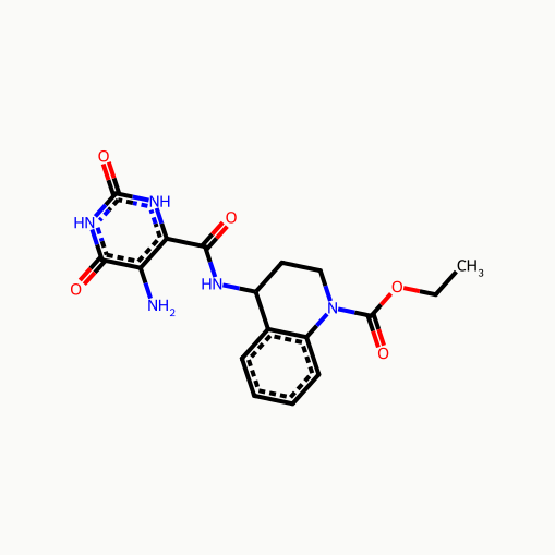 CCOC(=O)N1CCC(NC(=O)c2[nH]c(=O)[nH]c(=O)c2N)c2ccccc21